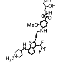 COc1cc(S(=O)(=O)NCC(O)CO)ccc1NCC#Cc1sc2c(NC3CCN(C)CC3)cccc2c1C(F)C(F)F